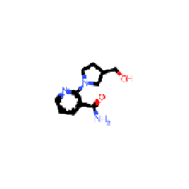 NC(=O)c1cccnc1N1CCC(CO)C1